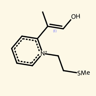 CSCC[n+]1ccccc1/C(C)=C/O